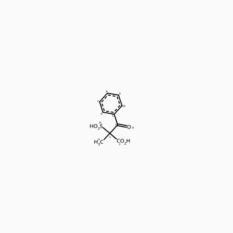 CC(C(=O)O)(C(=O)c1ccccc1)S(=O)(=O)O